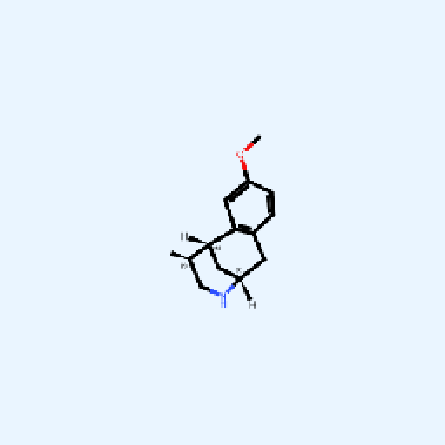 COc1ccc2c(c1)[C@@H]1C[C@H](C2)NC[C@H]1C